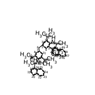 CC(C)c1cc(Cc2cc(C(C)C)c(NC(C)c3cccc4ccccc34)c(C(C)C)c2)cc(C(C)C)c1NC(C)c1cccc2ccccc12